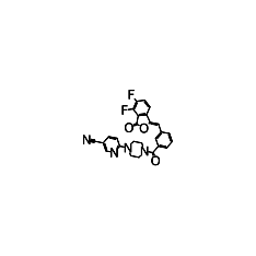 N#Cc1ccc(N2CCN(C(=O)c3cccc(C=C4OC(=O)c5c4ccc(F)c5F)c3)CC2)nc1